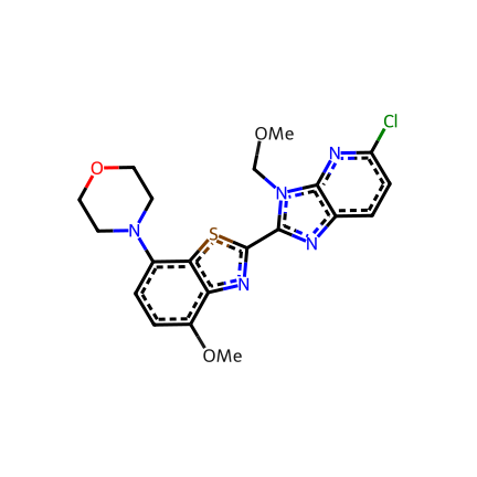 COCn1c(-c2nc3c(OC)ccc(N4CCOCC4)c3s2)nc2ccc(Cl)nc21